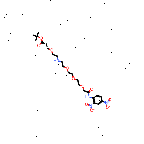 CC(C)(C)OC(=O)CCOCCNCCOCCOCCOCC(=O)Nc1ccc([N+](=O)[O-])cc1[N+](=O)[O-]